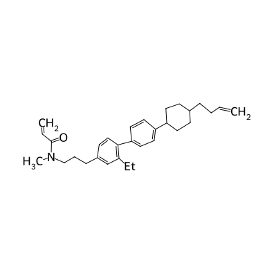 C=CCCC1CCC(c2ccc(-c3ccc(CCCN(C)C(=O)C=C)cc3CC)cc2)CC1